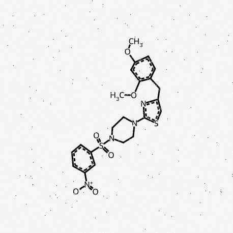 COc1ccc(Cc2csc(N3CCN(S(=O)(=O)c4cccc([N+](=O)[O-])c4)CC3)n2)c(OC)c1